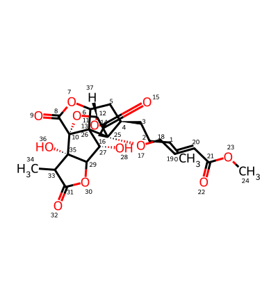 CCCC[C@@H]1CC2OC(=O)[C@@]34O[C@H]5OC(=O)[C@@H](OC/C=C/C(=O)OC)C15C23[C@H](O)C1OC(=O)C(C)[C@]14O